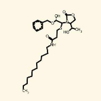 CCCCCCCCCCCCNC(=O)CCSC([C@@H](O)OCc1ccccc1)N1C(=O)OCC1C(C)O